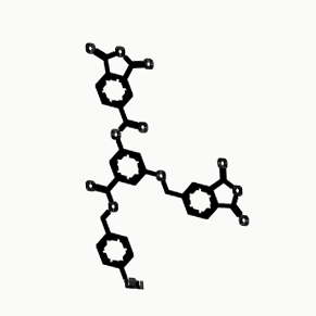 CC(C)(C)c1ccc(COC(=O)c2cc(OCc3ccc4c(c3)C(=O)OC4=O)cc(OC(=O)c3ccc4c(c3)C(=O)OC4=O)c2)cc1